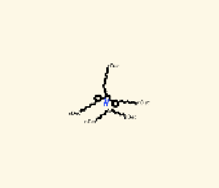 CCCCCCCCCCCCCCCCCC#CC1=C(c2cccc(CCCCCCCCCCCCCCCC)c2)[N+](=[N-])C(c2cccc(CCCCCCCCCCCCCCCC)c2)=C1.CCCCCCCCCCCCCC[CH2][Ni][CH2]CCCCCCCCCCCCCC